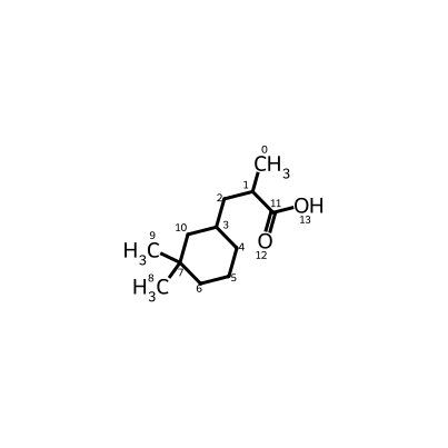 CC(CC1CCCC(C)(C)C1)C(=O)O